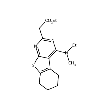 CCOC(=O)Cc1nc(N(C)CC)c2c3c(sc2n1)CCCC3